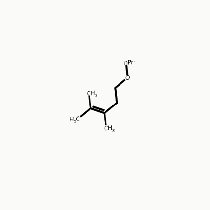 CC[CH]OCCC(C)=C(C)C